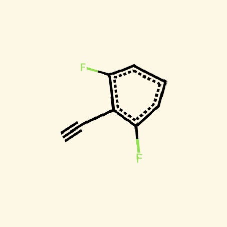 C#Cc1c(F)cccc1F